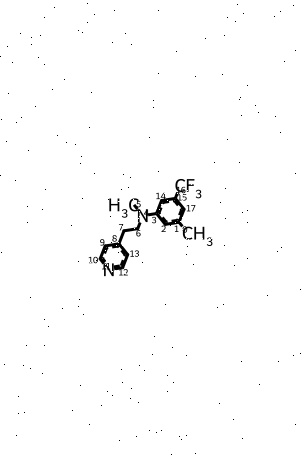 Cc1cc(N(C)CCc2ccncc2)cc(C(F)(F)F)c1